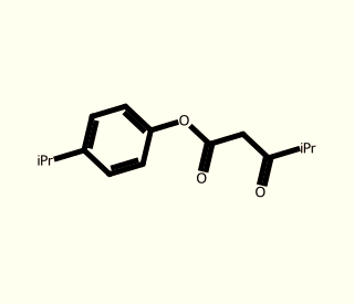 CC(C)C(=O)CC(=O)Oc1ccc(C(C)C)cc1